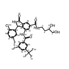 O=C(NCCC(O)CO)c1cc(NC(=O)c2cc(F)cc(C(F)(F)F)c2)c2c(c1)C(=O)NC2c1cc(F)ccc1Cl